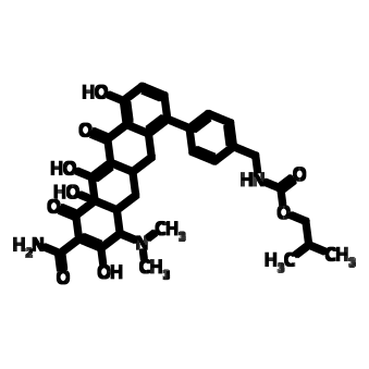 CC(C)COC(=O)NCc1ccc(-c2ccc(O)c3c2CC2CC4C(N(C)C)C(O)=C(C(N)=O)C(=O)C4(O)C(O)=C2C3=O)cc1